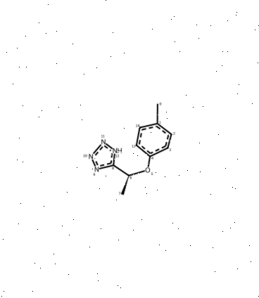 Cc1ccc(O[C@@H](C)c2nnn[nH]2)cc1